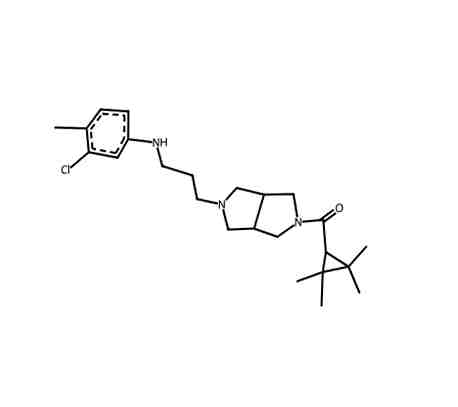 Cc1ccc(NCCCN2CC3CN(C(=O)C4C(C)(C)C4(C)C)CC3C2)cc1Cl